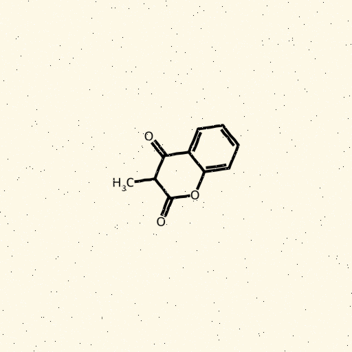 CC1C(=O)Oc2ccccc2C1=O